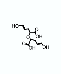 O=C(O)C(CC=CO)OC(CC=CO)C(=O)O